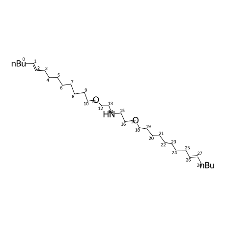 CCCCC=CCCCCCCCCOCCNCCOCCCCCCCCC=CCCCC